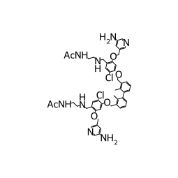 CC(=O)NCCNCc1cc(Cl)c(OCc2cccc(-c3cccc(COc4cc(OCc5cncc(N)c5)c(CNCCNC(C)=O)cc4Cl)c3C)c2C)cc1OCc1cncc(N)c1